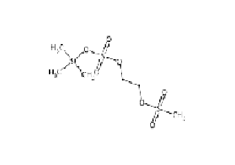 C[Si](C)(C)OS(=O)(=O)OCCOS(C)(=O)=O